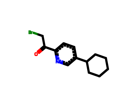 O=C(CBr)c1ccc(C2CCCCC2)cn1